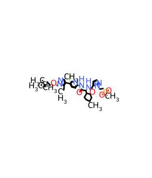 CCc1c(-c2ccc(NC(=O)[C@@H](NC(=O)c3ccnn3CCS(C)(=O)=O)C3CCC(C)CC3)nc2F)c(C)nn1COCC[Si](C)(C)C